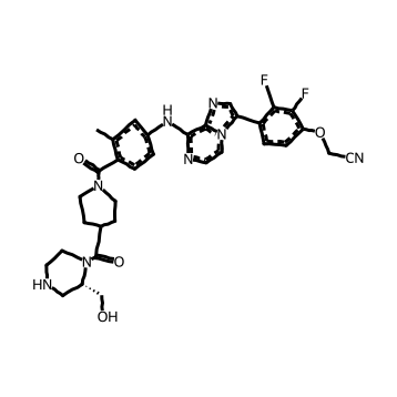 Cc1cc(Nc2nccn3c(-c4ccc(OCC#N)c(F)c4F)cnc23)ccc1C(=O)N1CCC(C(=O)N2CCNC[C@H]2CO)CC1